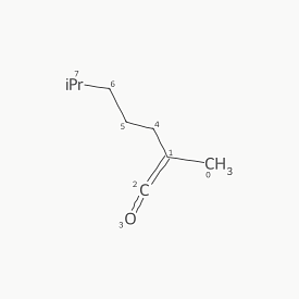 CC(=C=O)CCCC(C)C